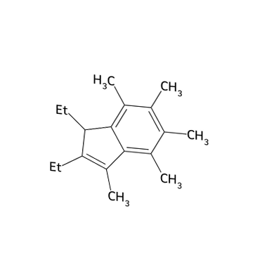 CCC1=C(C)c2c(C)c(C)c(C)c(C)c2C1CC